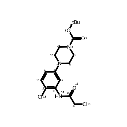 CC(C)(C)OC(=O)N1CCN(c2ccc(Cl)c(NC(=O)CCl)c2)CC1